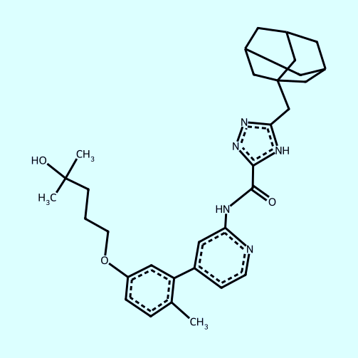 Cc1ccc(OCCCC(C)(C)O)cc1-c1ccnc(NC(=O)c2nnc(CC34CC5CC(CC(C5)C3)C4)[nH]2)c1